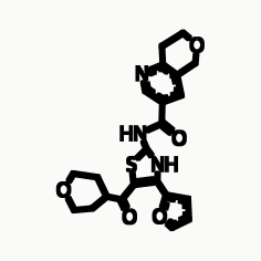 O=C(NC1NC(c2ccco2)=C(C(=O)C2CCOCC2)S1)c1cnc2c(c1)COCC2